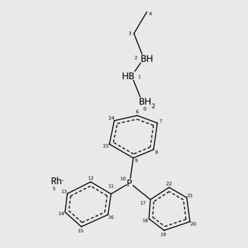 BBBCC.[Rh].c1ccc(P(c2ccccc2)c2ccccc2)cc1